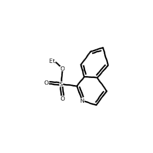 CCOS(=O)(=O)c1nccc2ccccc12